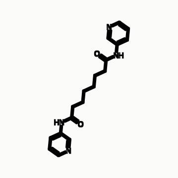 O=C(CCCCCCC(=O)Nc1cccnc1)Nc1cccnc1